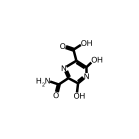 NC(=O)c1nc(C(=O)O)c(O)nc1O